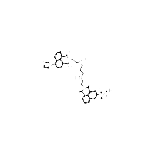 CC(C)N(CCCNCCN1C(=O)c2cccc3cc(S(=O)(=O)N(C)C)cc(c23)C1=O)CCN1C(=O)c2cccc3c(-n4ccnc4)ccc(c23)C1=O